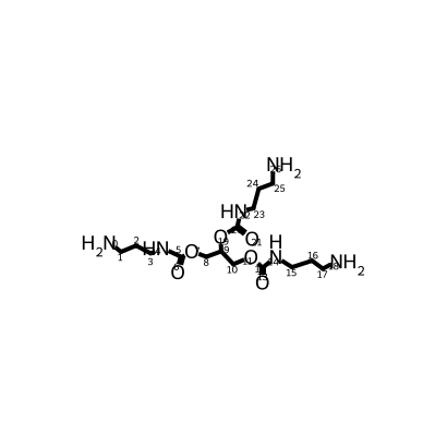 NCCCNC(=O)OCC(COC(=O)NCCCN)OC(=O)NCCCN